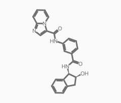 O=C(N[C@@H]1c2ccccc2C[C@@H]1O)c1cccc(NC(=O)c2cnc3ccccn23)c1